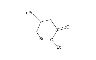 CCCC(CBr)CC(=O)OCC